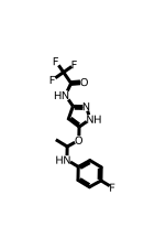 CC(Nc1ccc(F)cc1)Oc1cc(NC(=O)C(F)(F)F)n[nH]1